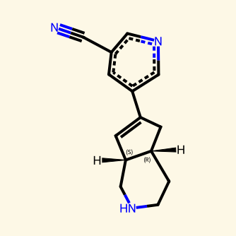 N#Cc1cncc(C2=C[C@H]3CNCC[C@H]3C2)c1